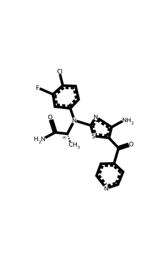 C[C@H](C(N)=O)N(c1ccc(Cl)c(F)c1)c1nc(N)c(C(=O)c2ccncc2)s1